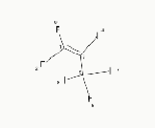 FC(F)=C(I)C(F)(I)I